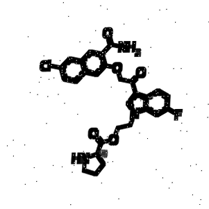 NC(=O)c1cc2cc(Cl)ccc2cc1OCC(=O)c1cn(CCOC(=O)[C@H]2CCCN2)c2cc(F)ccc12